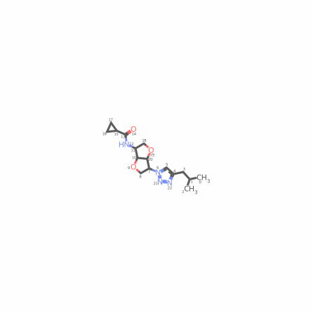 CC(C)Cc1cn(C2COC3C(NC(=O)C4CC4)COC32)nn1